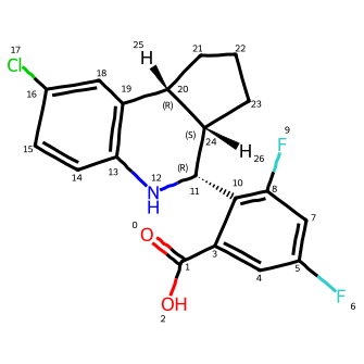 O=C(O)c1cc(F)cc(F)c1[C@@H]1Nc2ccc(Cl)cc2[C@@H]2CCC[C@@H]21